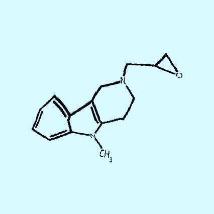 Cn1c2c(c3ccccc31)CN(CC1CO1)CC2